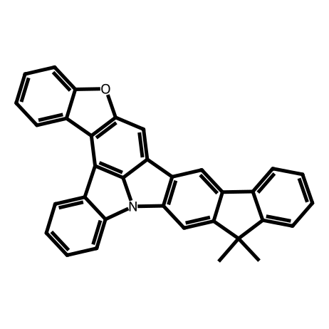 CC1(C)c2ccccc2-c2cc3c4cc5oc6ccccc6c5c5c6ccccc6n(c3cc21)c45